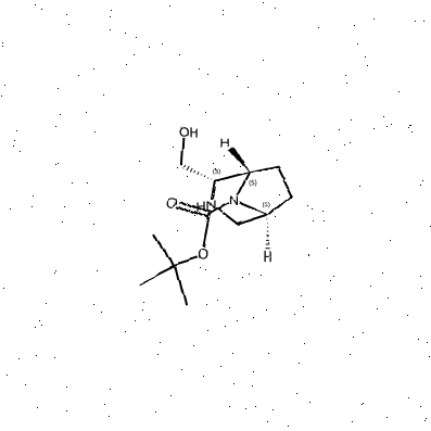 CC(C)(C)OC(=O)N1[C@H]2CC[C@H]1[C@@H](CO)NC2